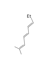 CC/C=C/C=C/C=C(C)C